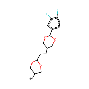 CCCC1COC(CCC2COC(c3ccc(F)c(F)c3)OC2)OC1